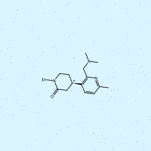 CCN1CC[C@@H](c2ccc(C)nc2CN(C)C)CC1=O